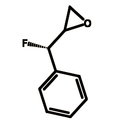 F[C@@H](c1ccccc1)C1CO1